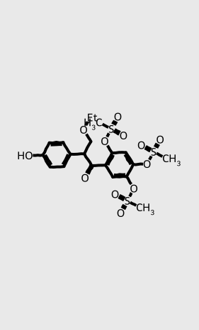 CCOCC(C(=O)c1cc(OS(C)(=O)=O)c(OS(C)(=O)=O)cc1OS(C)(=O)=O)c1ccc(O)cc1